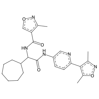 Cc1nocc1C(=O)NC(C(=O)Nc1ccc(-c2c(C)noc2C)nc1)C1CCCCCC1